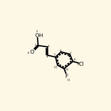 O=C(O)C=Cc1ccc(Cl)c(F)c1